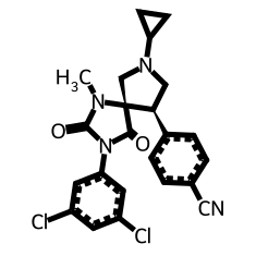 CN1C(=O)N(c2cc(Cl)cc(Cl)c2)C(=O)[C@]12CN(C1CC1)C[C@H]2c1ccc(C#N)cc1